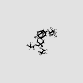 O=C(OCC1(COC(=O)C(F)(F)F)CSC2(SC1)C1CC3C[C@H]2CC(OC(=O)C(F)(F)S(=O)(=O)O)(C3)C1)C(F)(F)F